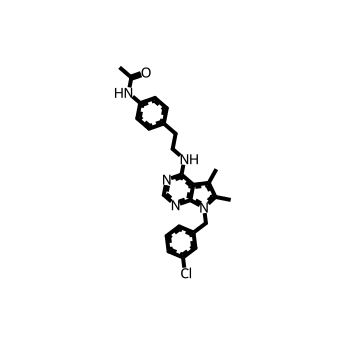 CC(=O)Nc1ccc(CCNc2ncnc3c2c(C)c(C)n3Cc2cccc(Cl)c2)cc1